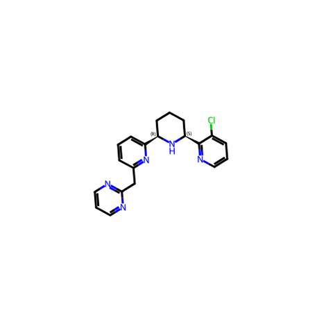 Clc1cccnc1[C@@H]1CCC[C@H](c2cccc(Cc3ncccn3)n2)N1